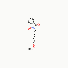 CCCCOCCCCCCN1C(=O)c2ccccc2C1=O